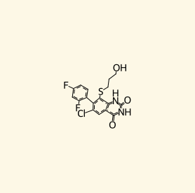 O=c1[nH]c(=O)c2cc(Cl)c(-c3ccc(F)cc3F)c(SCCCO)c2[nH]1